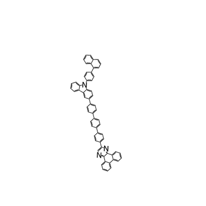 c1ccc2c(-c3ccc(-n4c5ccccc5c5cc(-c6ccc(-c7ccc(-c8ccc(-c9cnc%10c%11ccccc%11c%11ccccc%11c%10n9)cc8)cc7)cc6)ccc54)cc3)cccc2c1